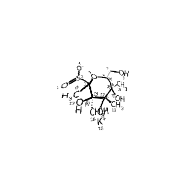 CC1(S(=O)[O-])O[C@H](CO)[C@@](C)(O)[C@](C)(O)[C@@]1(C)O.[K+]